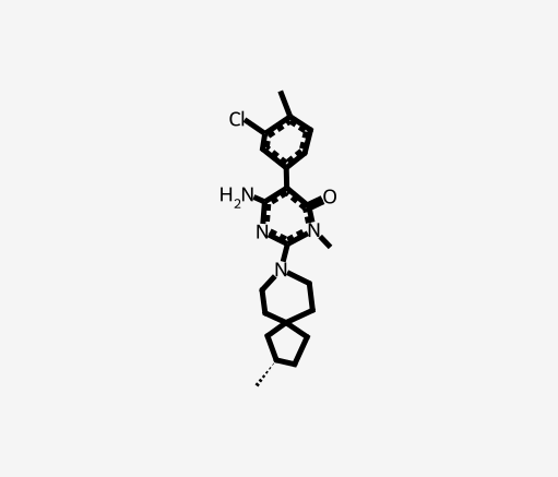 Cc1ccc(-c2c(N)nc(N3CCC4(CC[C@H](C)C4)CC3)n(C)c2=O)cc1Cl